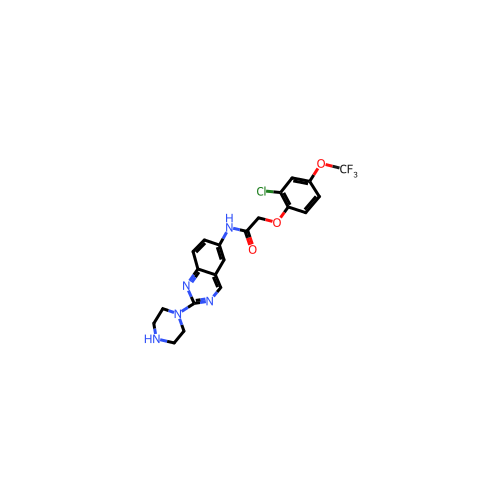 O=C(COc1ccc(OC(F)(F)F)cc1Cl)Nc1ccc2nc(N3CCNCC3)ncc2c1